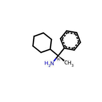 C[C@](N)(c1ccccc1)C1CCCCC1